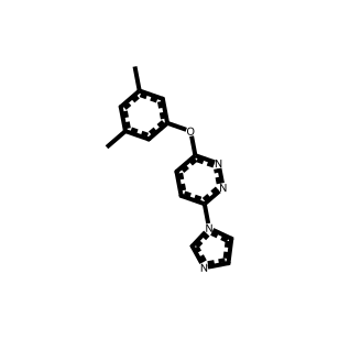 Cc1cc(C)cc(Oc2ccc(-n3ccnc3)nn2)c1